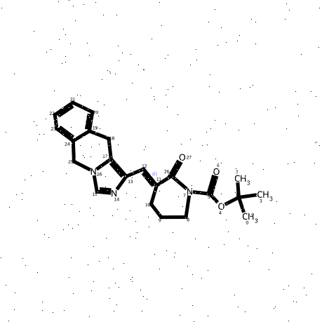 CC(C)(C)OC(=O)N1CCC/C(=C\c2ncn3c2Cc2ccccc2C3)C1=O